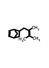 CC(C)=C(C)CC1CC2C=CC1C2